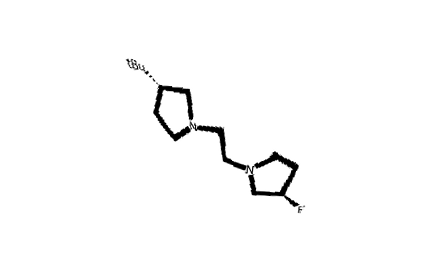 CC(C)(C)[C@H]1CCN(CCN2CC[C@@H](F)C2)C1